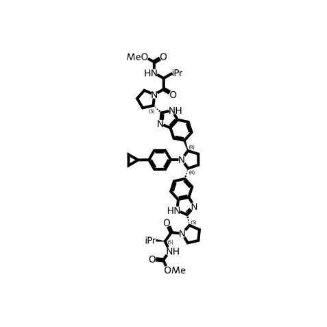 COC(=O)NC(C(=O)N1CCC[C@H]1c1nc2cc([C@H]3CC[C@H](c4ccc5[nH]c([C@@H]6CCCN6C(=O)[C@@H](NC(=O)OC)C(C)C)nc5c4)N3c3ccc(C4CC4)cc3)ccc2[nH]1)C(C)C